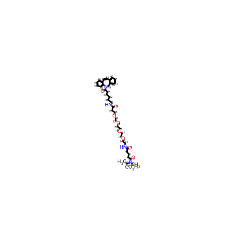 C[C@@H](C(=O)O)N(C)C(=O)CCCC(=O)NCCOCCOCCOCCOCCC(=O)NCCCCCC(=O)N1Cc2ccccc2C#Cc2ccccc21